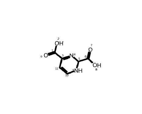 O=C(O)C1=NC(C(=O)O)NC=C1